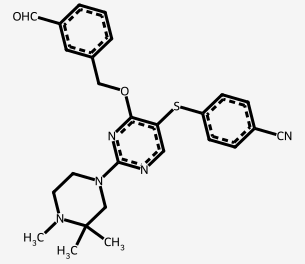 CN1CCN(c2ncc(Sc3ccc(C#N)cc3)c(OCc3cccc(C=O)c3)n2)CC1(C)C